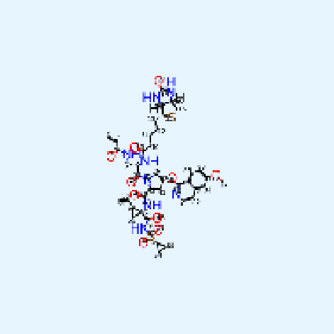 C=CC(=O)NC[C@H](NC(=O)CCCC[C@H]1SC[C@H]2NC(=O)N[C@H]21)C(=O)N1C[C@H](Oc2nccc3cc(OC)ccc23)C[C@H]1C(=O)N[C@]1(C(=O)NS(=O)(=O)C2CC2)C[C@H]1C=C